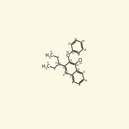 CCN(CC)c1nc2ccccc2c(Cl)c1Oc1ccccc1